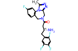 Cc1nnc2n1-c1cc(F)ccc1CN(C(=O)C[C@H](N)Cc1cc(F)c(F)cc1F)C2